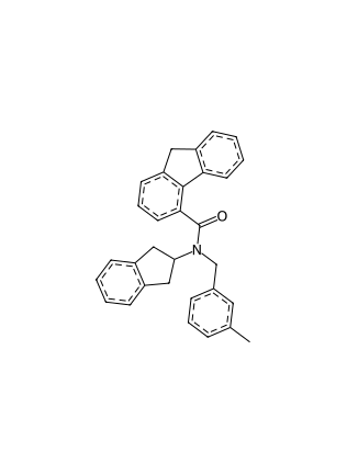 Cc1cccc(CN(C(=O)c2cccc3c2-c2ccccc2C3)C2Cc3ccccc3C2)c1